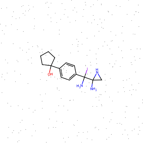 NC1(C(N)(I)c2ccc(C3(O)CCCC3)cc2)CN1